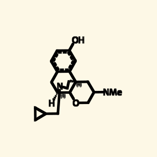 CNC1COC2[C@H]3Cc4ccc(O)cc4[C@@]2(CCN3CC2CC2)C1